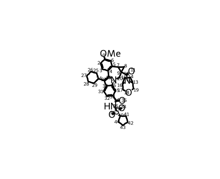 COc1ccc2c(c1)C1CC1(C(=O)N1C3CCC1COC3)Cn1c-2c(C2CCCCC2)c2ccc(C(=O)NS(=O)(=O)C3CCCC3)cc21